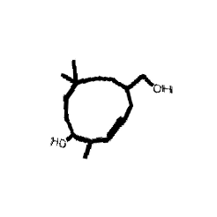 CC1/C=C\CC(CO)CCC(C)(C)CCC1O